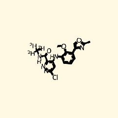 [2H]C([2H])([2H])NC(=O)c1nnc(Cl)cc1Nc1cccc(-c2coc(C)n2)c1OC